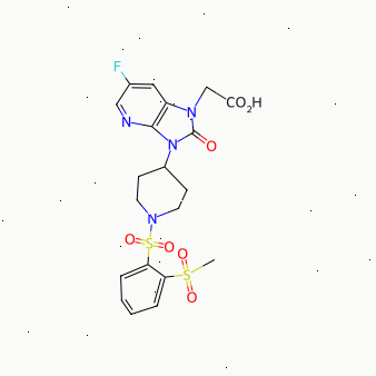 CS(=O)(=O)c1ccccc1S(=O)(=O)N1CCC(n2c(=O)n(CC(=O)O)c3cc(F)cnc32)CC1